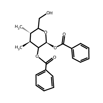 C[C@@H]1C(CO)O[C@@H](OC(=O)c2ccccc2)C(OC(=O)c2ccccc2)[C@H]1C